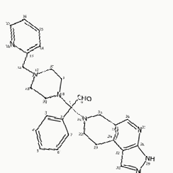 O=CC(c1ccccc1)(N1CCN(Cc2ccccn2)CC1)N1CCc2c(cnc3[nH]ncc23)C1